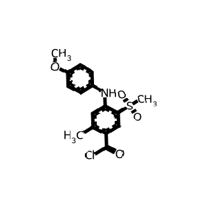 COc1ccc(Nc2cc(C)c(C(=O)Cl)cc2S(C)(=O)=O)cc1